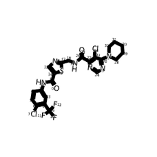 O=C(Nc1ccc(Cl)c(C(F)(F)F)c1)c1cnc(CNC(=O)c2ncnc(N3CCCCC3)c2Cl)s1